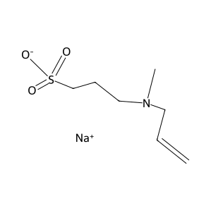 C=CCN(C)CCCS(=O)(=O)[O-].[Na+]